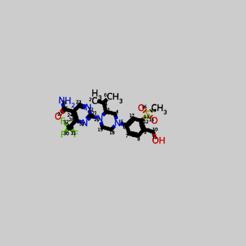 CC(C)C1CN(c2ccc(CO)c(S(C)(=O)=O)c2)CCN1c1ncc(C(N)=O)c(C(F)(F)F)n1